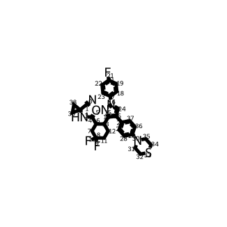 N#CC1(NC(=O)C2CC(F)(F)CCC2c2nn(-c3ccc(F)cc3)cc2-c2ccc(N3CCSCC3)cc2)CC1